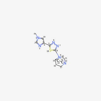 Cn1cnc(-c2nnc(N3CCN4CCC3CC4)s2)c1